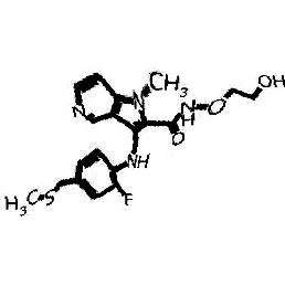 CSc1ccc(Nc2c(C(=O)NOCCO)n(C)c3ccncc23)c(F)c1